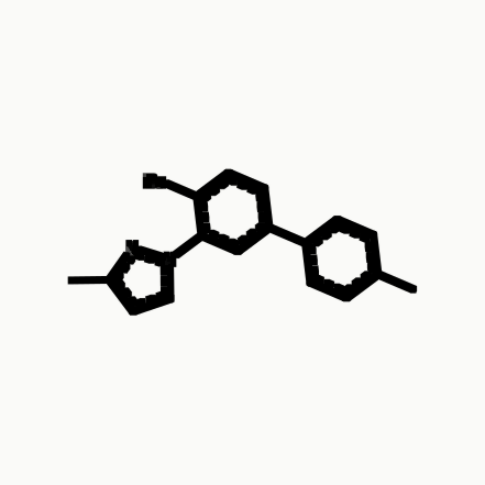 CCC(C)c1ccc(-c2ccc(C)cc2)cc1-n1ccc(C)n1